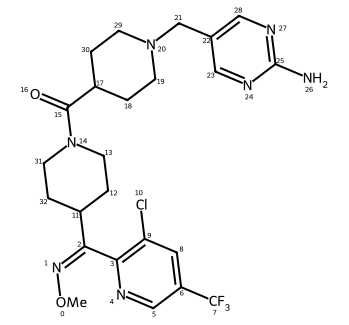 CO/N=C(\c1ncc(C(F)(F)F)cc1Cl)C1CCN(C(=O)C2CCN(Cc3cnc(N)nc3)CC2)CC1